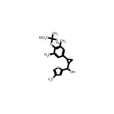 CCOC(=O)C(C)(C)Oc1c(C)cc(C2CC2C(O)c2cc(C(F)(F)F)cs2)cc1C